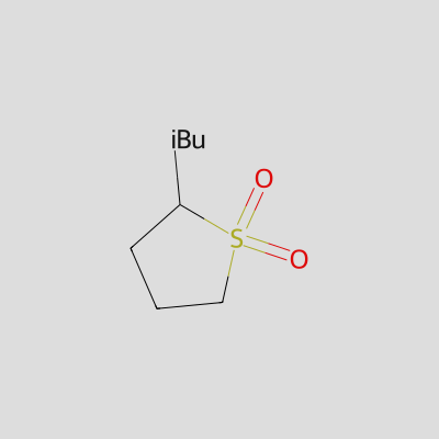 CCC(C)C1CCCS1(=O)=O